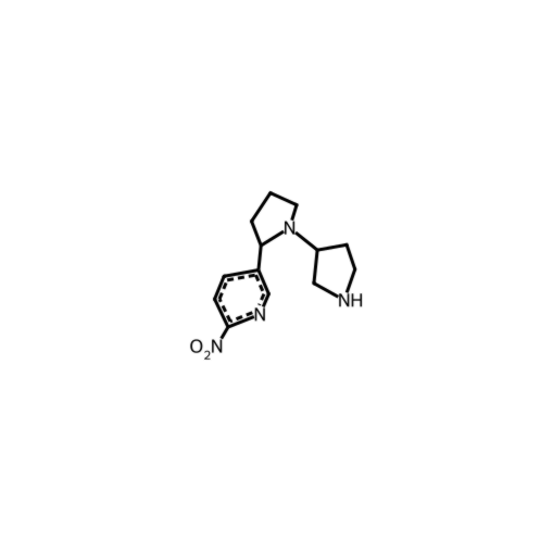 O=[N+]([O-])c1ccc(C2CCCN2C2CCNC2)cn1